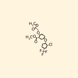 COC(=O)COc1ccc(Oc2ccc(C(F)(F)F)cc2Cl)cc1C(=O)OC